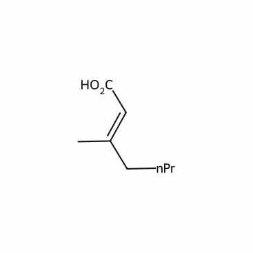 CCCCC(C)=CC(=O)O